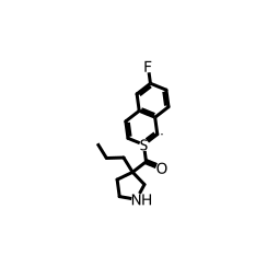 CCCC1(C(=O)S2=[C]c3ccc(F)cc3C=C2)CCNC1